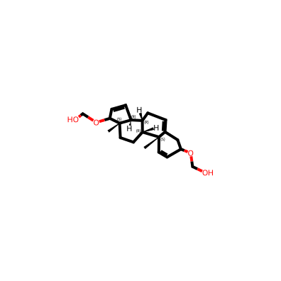 C[C@]12C=CC(OCO)CC1=CC[C@@H]1[C@H]2CC[C@]2(C)C(OCO)C=C[C@@H]12